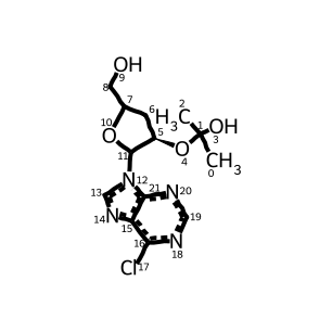 CC(C)(O)O[C@@H]1CC(CO)OC1n1cnc2c(Cl)ncnc21